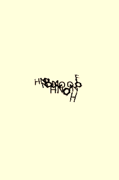 Cn1c(C(=O)Nc2cccc(C(=O)Nc3cccc(CF)c3)c2)cc2cnc3[nH]ccc3c21